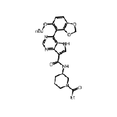 CCCCOc1ccc2c(c1-c1ncnc3c(C(=O)NC4CCCN(C(=O)CC)C4)c[nH]c13)OCO2